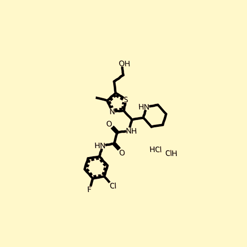 Cc1nc(C(NC(=O)C(=O)Nc2ccc(F)c(Cl)c2)C2CCCCN2)sc1CCO.Cl.Cl